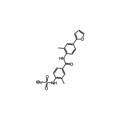 Cc1cc(-c2ccco2)ccc1NC(=O)c1ccc(NS(=O)(=O)C(C)(C)C)c(C)c1